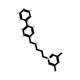 Cc1cc(C)c[n+](CCCCCc2ccc(-c3ccccc3)cc2)c1